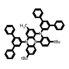 Cc1cc2c3c(c1)N(c1cc(-c4ccccc4)cc(-c4ccccc4)c1)c1cc(C(C)(C)C)ccc1B3c1ccc(C(C)(C)C)cc1N2c1cc(-c2ccccc2)cc(-c2ccccc2)c1